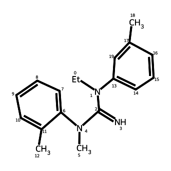 CCN(C(=N)N(C)c1ccccc1C)c1cccc(C)c1